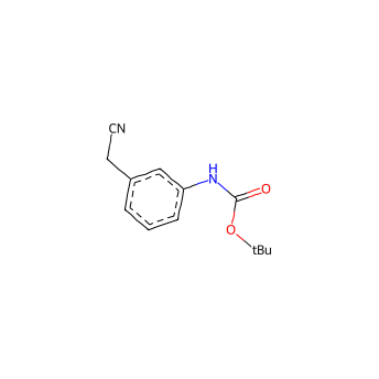 CC(C)(C)OC(=O)Nc1cccc(CC#N)c1